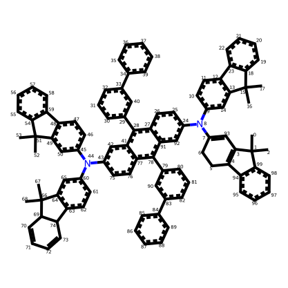 CC1(C)C2=C(CCC(N(c3ccc4c(c3)C(C)(C)c3ccccc3-4)c3ccc4c(-c5cccc(-c6ccccc6)c5)c5cc(N(c6ccc7c(c6)C(C)(C)c6ccccc6-7)c6ccc7c(c6)C(C)(C)C6C=CC=CC76)ccc5c(-c5cccc(-c6ccccc6)c5)c4c3)=C2)c2ccccc21